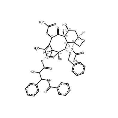 CC(=O)O[C@H]1C(=O)[C@@]2(C)[C@H]([C@H](OCc3ccccc3)[C@]3(O)C[C@H](OC(=O)C(O)C(NC(=O)c4ccccc4)c4ccccc4)C(C)=C1C3(C)C)[C@]1(OC(C)=O)CO[C@@H]1C[C@@H]2O